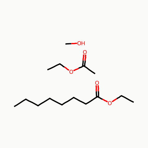 CCCCCCCC(=O)OCC.CCOC(C)=O.CO